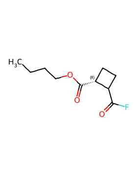 CCCCOC(=O)[C@@H]1CCC1C(=O)F